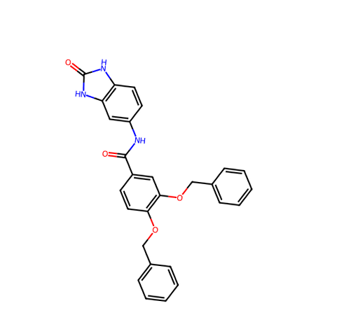 O=C(Nc1ccc2[nH]c(=O)[nH]c2c1)c1ccc(OCc2ccccc2)c(OCc2ccccc2)c1